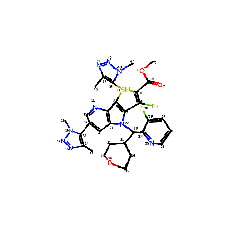 COC(=O)C1=C(F)c2c(c3ncc(-c4c(C)nnn4C)cc3n2C(c2ncccc2F)C2CCOCC2)[SH]1c1c(C)nnn1C